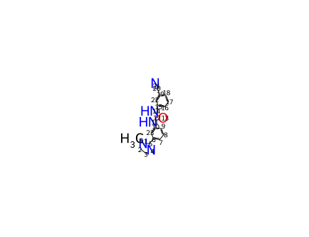 CN1CCN=C1c1cccc(NC(=O)Nc2cccc(C#N)c2)c1